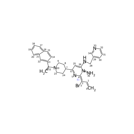 C=C/C(Br)=C1/N=C(C2CCN(C(=C)c3ccc4ccccc4c3)CC2)C=C(NCc2cccnc2)N1N